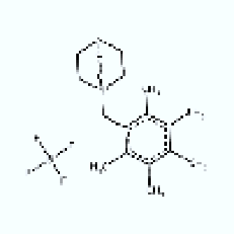 Cc1c(C)c(C)c(C[N+]23CCN(CC2)CC3)c(C)c1C.F[B-](F)(F)F